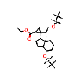 CCOC(=O)C1CC1(CCO[Si](C)(C)C(C)(C)C)[C@H]1CCC2[C@@H](O[Si](C)(C)C(C)(C)C)CCC[C@@]21C